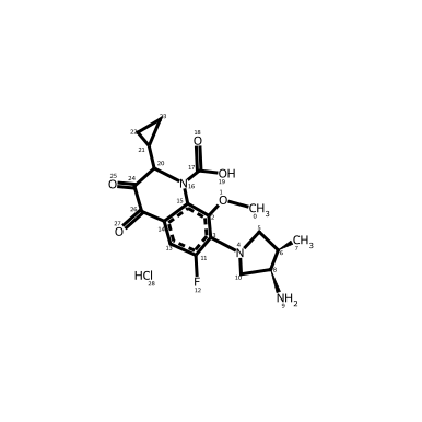 COc1c(N2C[C@@H](C)[C@@H](N)C2)c(F)cc2c1N(C(=O)O)C(C1CC1)C(=O)C2=O.Cl